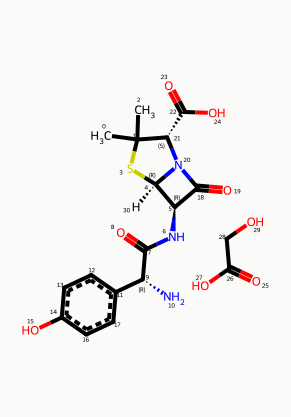 CC1(C)S[C@@H]2[C@H](NC(=O)[C@H](N)c3ccc(O)cc3)C(=O)N2[C@H]1C(=O)O.O=C(O)CO